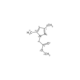 COC(=O)Cn1nc(C)cc1C